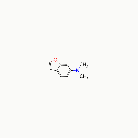 CN(C)c1ccc2ccoc2c1